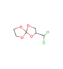 ClC(Cl)C1COC2(OCCO2)O1